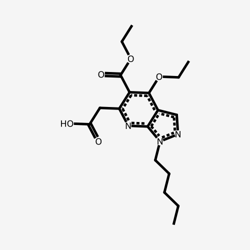 CCCCCn1ncc2c(OCC)c(C(=O)OCC)c(CC(=O)O)nc21